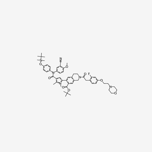 COc1ccc(N(C(=O)c2cc(-c3cc4c(cc3C(=O)OC(C)(C)C)CN(C(=O)Cc3ccc(OCCN5CCOCC5)cc3F)CC4)n(C)c2C)c2ccc(O[Si](C)(C)C(C)(C)C)cc2)cc1C#N